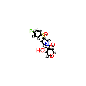 O=C(N1CC[C@H]([S+]([O-])c2ccc(F)cc2)C1)C1(CO)CCOCC1